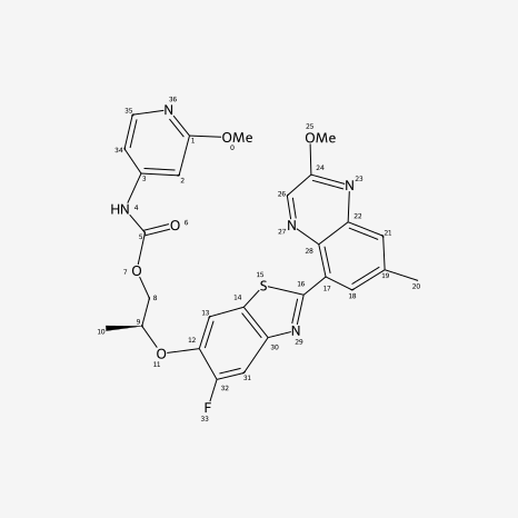 COc1cc(NC(=O)OC[C@H](C)Oc2cc3sc(-c4cc(C)cc5nc(OC)cnc45)nc3cc2F)ccn1